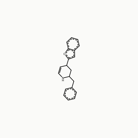 C1=CC(c2cc3ccccc3o2)CC(Cc2ccccc2)N1